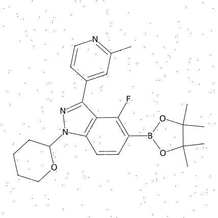 Cc1cc(-c2nn(C3CCCCO3)c3ccc(B4OC(C)(C)C(C)(C)O4)c(F)c23)ccn1